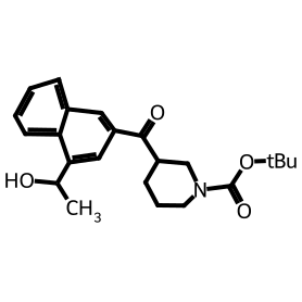 CC(O)c1cc(C(=O)C2CCCN(C(=O)OC(C)(C)C)C2)cc2ccccc12